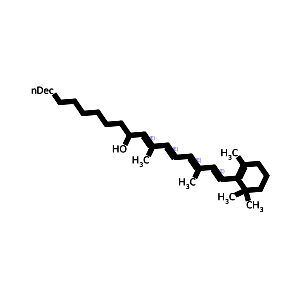 CCCCCCCCCCCCCCCCC(O)/C=C(C)/C=C/C=C(C)/C=C/C1=C(C)CCCC1(C)C